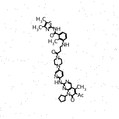 CC(=O)c1c(C)c2cnc(Nc3ccc(N4CCN(C(=O)CCNc5cccc(C(=O)Nc6nc(C)c(C)s6)c5C)CC4)cn3)nc2n(C2CCCC2)c1=O